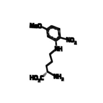 COc1ccc([N+](=O)[O-])c(NCCC[C@H](N)C(=O)O)c1